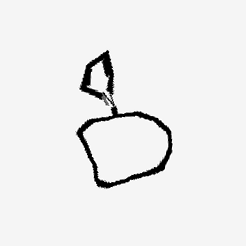 c1ccn(C2CCCCCCCCCCC2)c1